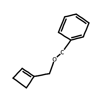 C1=C(COCc2ccccc2)CC1